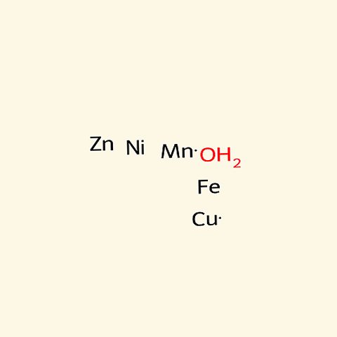 O.[Cu].[Fe].[Mn].[Ni].[Zn]